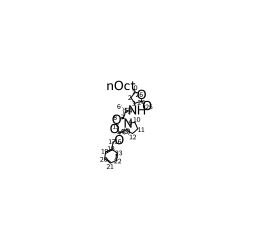 CCCCCCCCC1CC(N[C@@H](C)C(=O)N2CCC[C@H]2C(=O)OCc2ccccc2)C(=O)O1